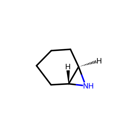 C1CC[C@H]2N[C@@H]2C1